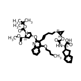 CCCCOc1c(C#CCCC[C@@H]2C[C@H]2OC(=O)N[C@H](C(=O)O)C2Cc3ccccc3C2)c(O[C@@H]2C[C@@H](C(=O)OC)N(C(=O)OC(C)(C)C)C2)nc2ccccc12